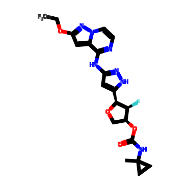 CC1(NC(=O)O[C@H]2CO[C@@H](c3cc(Nc4nccn5nc(OCC(F)(F)F)cc45)n[nH]3)[C@H]2F)CC1